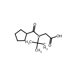 CC(C)(C)N(CC(=O)O)C(=O)C1CCCC1